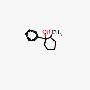 CC1CCCCC1(O)c1ccccc1